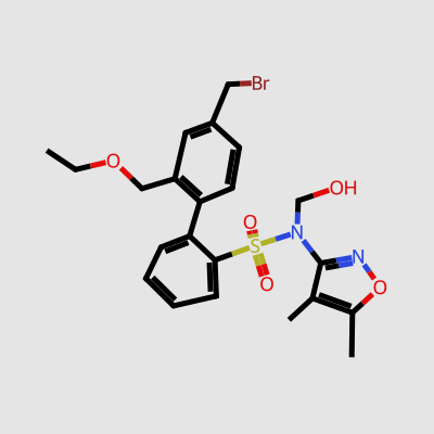 CCOCc1cc(CBr)ccc1-c1ccccc1S(=O)(=O)N(CO)c1noc(C)c1C